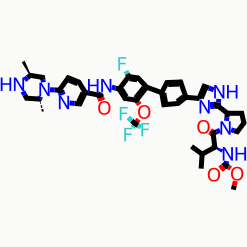 COC(=O)N[C@H](C(=O)N1CCCC1c1nc(-c2ccc(-c3cc(F)c(NC(=O)c4ccc(N5C[C@H](C)NC[C@H]5C)nc4)cc3OC(F)(F)F)cc2)c[nH]1)C(C)C